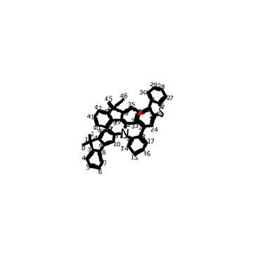 CC1(C)c2ccccc2-c2cc(N(c3ccccc3-c3ccc4c(c3)sc3ccccc34)c3cccc4c3-c3ccccc3C4(C)C)ccc21